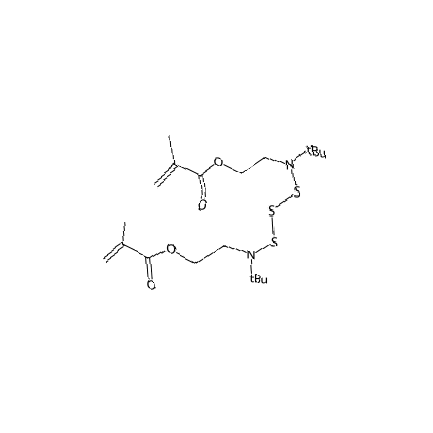 C=C(C)C(=O)OCCN(SSSN(CCOC(=O)C(=C)C)C(C)(C)C)C(C)(C)C